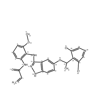 C=CC(=O)Nc1cccc(OC)c1Nc1n[nH]c2ccc(OC(C)c3c(Cl)cncc3Cl)cc12